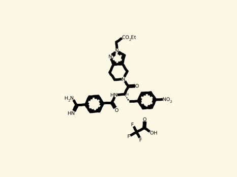 CCOC(=O)Cn1cc2c(n1)CCN(C(=O)[C@H](Cc1ccc([N+](=O)[O-])cc1)NC(=O)c1ccc(C(=N)N)cc1)C2.O=C(O)C(F)(F)F